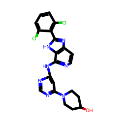 OC1CCN(c2cc(Nc3nccc4nc(-c5c(Cl)cccc5Cl)[nH]c34)ncn2)CC1